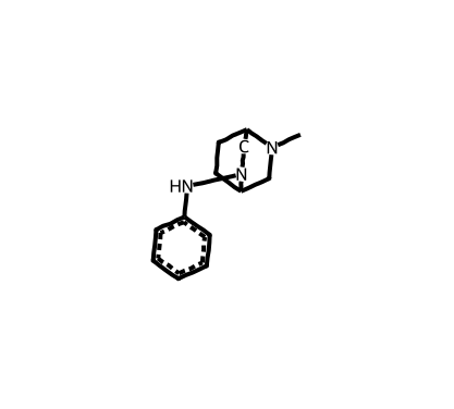 CN1CC2CCC1CN2Nc1ccccc1